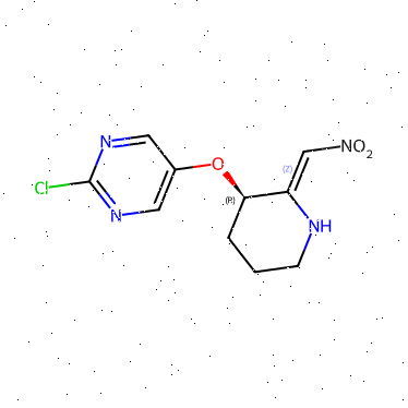 O=[N+]([O-])/C=C1\NCCC[C@H]1Oc1cnc(Cl)nc1